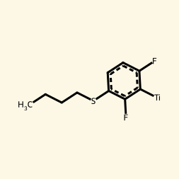 CCCCSc1ccc(F)[c]([Ti])c1F